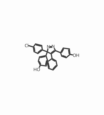 Oc1ccc(C2=C(c3ccccc3)C(c3ccc(O)cc3)(c3ccc(Cl)cc3)N=N2)cc1